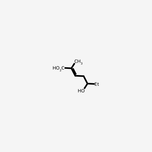 CCC(O)C/C=C(\C)C(=O)O